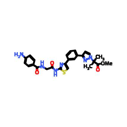 COC(=O)C(C)(C)n1ccc(-c2cccc(-c3csc(NC(=O)CNC(=O)c4ccc(N)cc4)n3)c2)n1